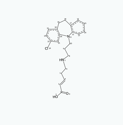 O=C(O)/C=C/CCNCCCN1c2ccccc2CCc2ccc(Cl)cc21